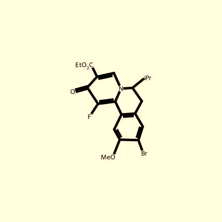 CCOC(=O)c1cn2c(c(F)c1=O)-c1cc(OC)c(Br)cc1CC2C(C)C